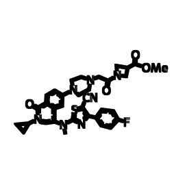 COC(=O)C1CN(C(=O)CN2CCN(c3ccc4c(=O)n(C5CC5)cc(N(C)c5nc(-c6ccc(F)cc6)c(C#N)s5)c4c3)CC2)C1